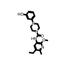 CCc1cc(NC(=O)N2CCN(c3cccc(O)c3)CC2)c(OC)nc1C